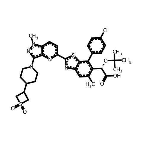 Cc1cc2nc(-c3ccc4c(n3)c(N3CCC(C5CS(=O)(=O)C5)CC3)nn4C)sc2c(-c2ccc(Cl)cc2)c1[C@H](OC(C)(C)C)C(=O)O